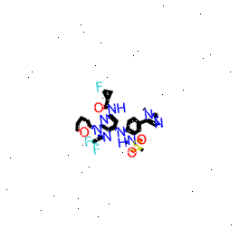 CN(c1cc(-c2cncn2C)ccc1Nc1cc(NC(=O)C2CC2F)nc2c1nc(C(F)F)n2C1CCCCO1)S(C)(=O)=O